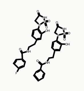 O=C1CN(c2ccc(CCNC(=O)c3ccc(F)cc3)cc2O)S(=O)(=O)N1.O=C1CN(c2ccc(CCNC(=O)c3ccccc3)cc2O)S(=O)(=O)N1